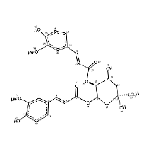 COc1cc(/C=C/C(=O)OC2C[C@@](O)(C(=O)O)CC(O)[C@@H]2OC(=O)/C=C/c2ccc(O)c(OC)c2)ccc1O